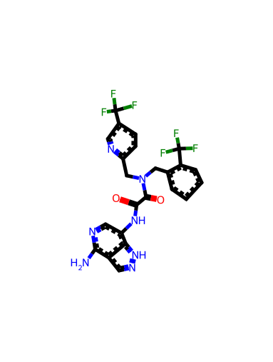 Nc1ncc(NC(=O)C(=O)N(Cc2ccc(C(F)(F)F)cn2)Cc2ccccc2C(F)(F)F)c2[nH]ncc12